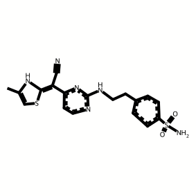 CC1=CSC(=C(C#N)c2ccnc(NCCc3ccc(S(N)(=O)=O)cc3)n2)N1